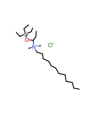 CCCCCCCCCCCC[N+](C)(C)C(CC)O[Si](CC)(CC)CC.[Cl-]